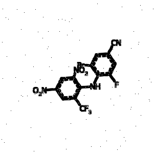 N#Cc1cc(F)c(Nc2c([N+](=O)[O-])cc([N+](=O)[O-])cc2C(F)(F)F)c(Br)c1